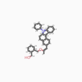 CC(=Cc1ccc2c(ccc3c2c2ccccc2n3-c2ccccc2)c1)OCc1ccccc1CO